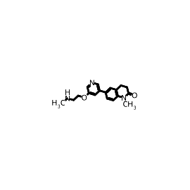 CNCCOc1cncc(-c2ccc3c(c2)CCC(=O)N3C)c1